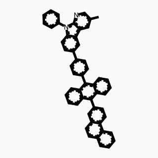 Cc1cnc2c(c1)c1cc(-c3ccc(-c4c5ccccc5c(-c5ccc6c(ccc7ccccc76)c5)c5ccccc45)cc3)ccc1n2-c1ccccc1